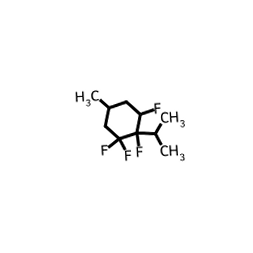 CC1CC(F)C(F)(C(C)C)C(F)(F)C1